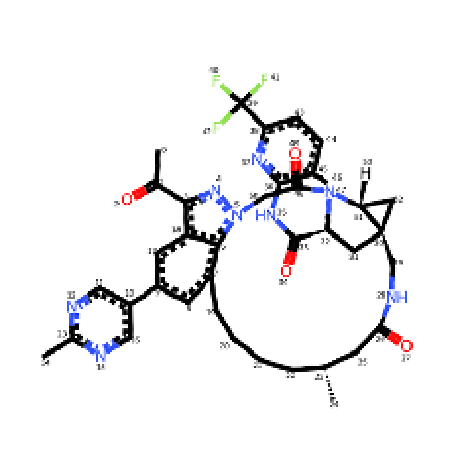 CC(=O)c1nn2c3c(cc(-c4cnc(C)nc4)cc13)CCCC[C@@H](C)CC(=O)NC[C@@]13C[C@@H](C(=O)Nc4nc(C(F)(F)F)ccc4C)N(C(=O)C2)[C@@H]1C3